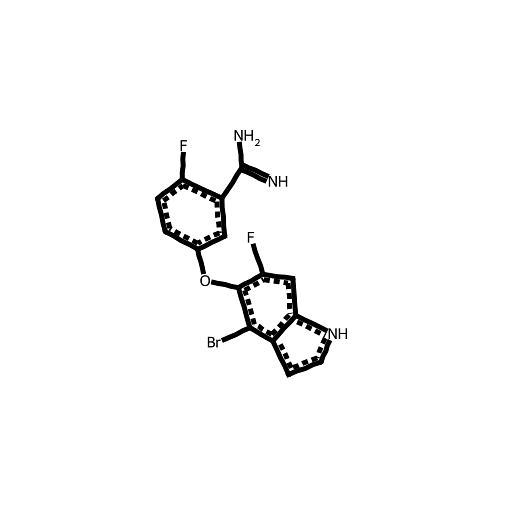 N=C(N)c1cc(Oc2c(F)cc3[nH]ccc3c2Br)ccc1F